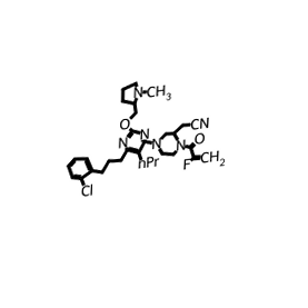 C=C(F)C(=O)N1CCN(c2nc(OCC3CCCN3C)nc(CCCc3ccccc3Cl)c2CCC)CC1CC#N